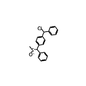 C[S+]([O-])C(c1ccccc1)c1ccc(C(Cl)c2ccccc2)cc1